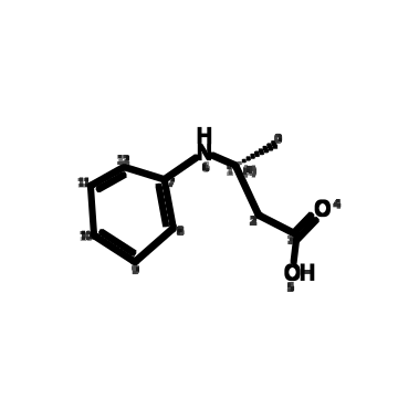 C[C@H](CC(=O)O)Nc1ccccc1